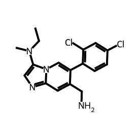 CCN(C)c1cnc2cc(CN)c(-c3ccc(Cl)cc3Cl)cn12